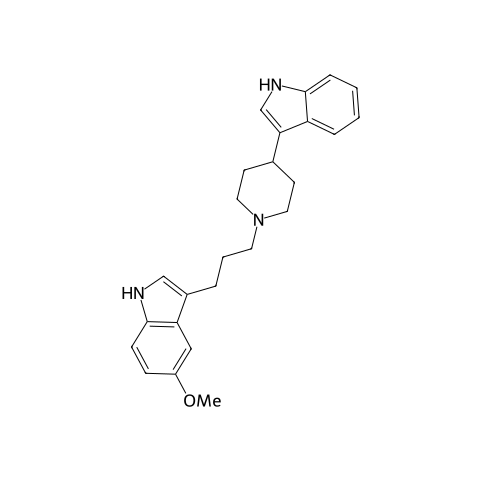 COc1ccc2[nH]cc(CCCN3CCC(c4c[nH]c5ccccc45)CC3)c2c1